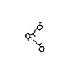 CC1C=CC=C2C1N(CCCc1c[nH]c3ccc(Cl)cc13)C(=O)[C@@]2(O)CC(=O)c1cccc(C(F)(F)F)c1